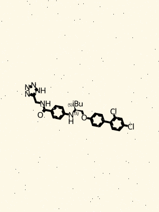 CC[C@H](C)[C@@H](COc1ccc(-c2ccc(Cl)cc2Cl)cc1)Nc1ccc(C(=O)NCc2nnn[nH]2)cc1